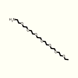 CCOCCOCCOCCOCCOCCOCCOCCN